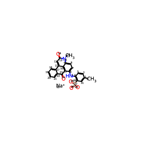 Cc1ccc(Nc2ccc3c4c(cc(=O)n3C)-c3ccccc3C(=O)c24)c(S(=O)(=O)[O-])c1.[Na+]